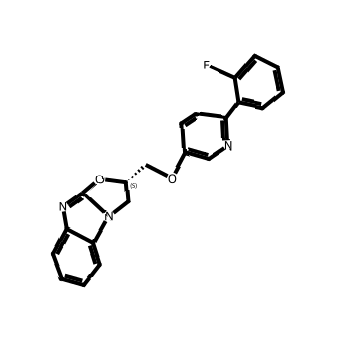 Fc1ccccc1-c1ccc(OC[C@@H]2Cn3c(nc4ccccc43)O2)cn1